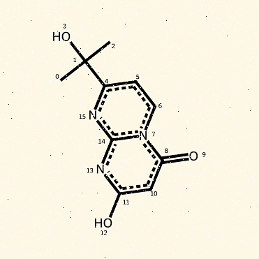 CC(C)(O)c1ccn2c(=O)cc(O)nc2n1